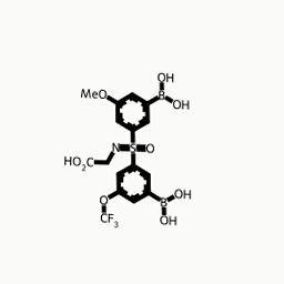 COc1cc(B(O)O)cc(S(=O)(=NCC(=O)O)c2cc(OC(F)(F)F)cc(B(O)O)c2)c1